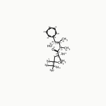 [2H]C([2H])([2H])C([2H])(C)C[C@]([2H])(N)C(=O)N(C)[C@H](C)[C@H](O)c1ccccc1